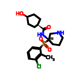 Cc1c(Cl)cccc1S(=O)(=O)[C@@]1(NC(=O)[C@H]2CC[C@H](O)CC2)CCCNC1